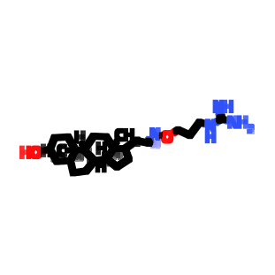 C[C@]12CCC(O)CC1CC[C@@H]1[C@H]2CC[C@]2(C)C(C/C=N/OCCCNC(=N)N)CC[C@@H]12